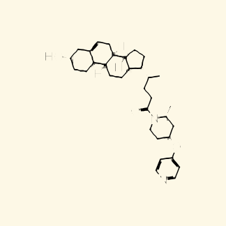 CC(CCC(=O)N1CC[C@@H](Oc2ccncc2)C[C@@H]1C)[C@H]1CC[C@H]2[C@@H]3CC=C4C[C@@H](O)CC[C@]4(C)[C@H]3CC[C@]12C